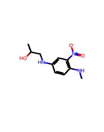 CNc1ccc(NCC(C)O)cc1[N+](=O)[O-]